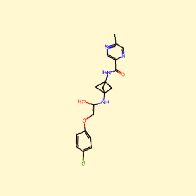 Cc1cnc(C(=O)NC23CC(NC(O)COc4ccc(Cl)cc4)(C2)C3)cn1